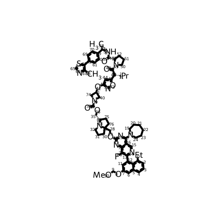 CCc1cccc2cc(OCOC)cc(-c3ncc4c(N5CCCCCC5)nc(OCC56CCCN5[C@H](COC(=O)N5CC(Oc7cc([C@H](C(=O)N8CCC[C@H]8C(=O)N[C@@H](C)c8ccc(-c9scnc9C)cc8)C(C)C)on7)C5)CC6)nc4c3F)c12